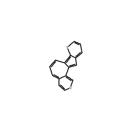 C1=Cc2cccc3c(cc4cccsc43)c2=CO1